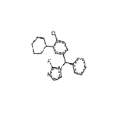 Fc1nccn1C(c1ccccc1)c1ccc(Cl)c(C2CCCCC2)c1